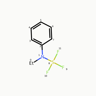 CCN(c1ccccc1)S(F)(F)F